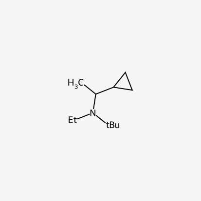 CCN(C(C)C1CC1)C(C)(C)C